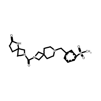 CS(=O)(=O)c1cccc(CN2CCC3(CC2)CN(C(=O)N2CC4(CCC(=O)N4)C2)C3)c1